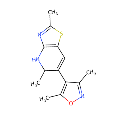 Cc1nc2c(s1)C=C(c1c(C)noc1C)C(C)N2